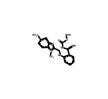 CCCCCCOC(=O)NC(=N)c1ccccc1NCc1nc2cc(C(=O)O)ccc2n1C